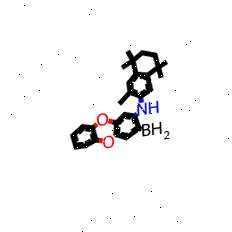 Bc1cc2c(cc1Nc1cc3c(cc1C)C(C)(C)CCC3(C)C)Oc1ccccc1O2